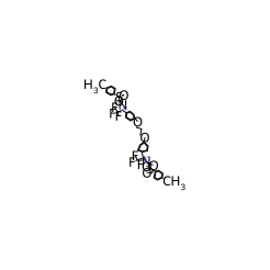 Cc1ccc(S(=O)O/N=C(/c2ccc(OCCCOc3ccc(/C(=N/OS(=O)(=O)c4ccc(C)cc4)C(F)(F)F)cc3)cc2)C(F)(F)F)cc1